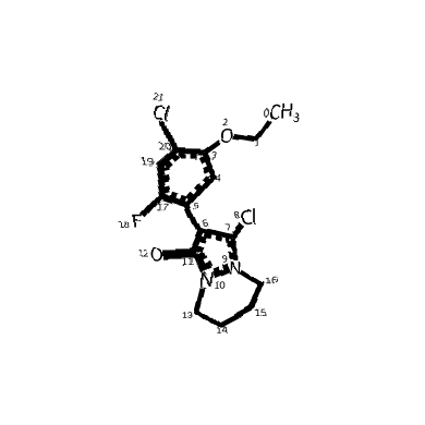 CCOc1cc(-c2c(Cl)n3n(c2=O)CCCC3)c(F)cc1Cl